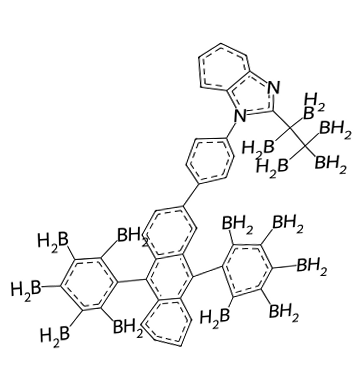 Bc1c(B)c(B)c(-c2c3ccccc3c(-c3c(B)c(B)c(B)c(B)c3B)c3cc(-c4ccc(-n5c(C(B)(B)C(B)(B)B)nc6ccccc65)cc4)ccc23)c(B)c1B